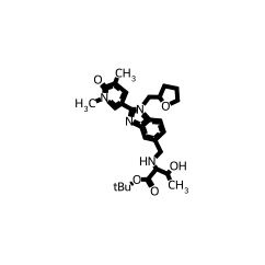 Cc1cc(-c2nc3cc(CNC(C(=O)OC(C)(C)C)C(C)O)ccc3n2CC2CCCO2)cn(C)c1=O